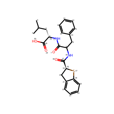 CC(C)C[C@H](NC(=O)C(Cc1ccccc1)NC(=O)[C@@H]1Cc2ccccc2S1)C(=O)O